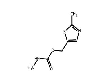 CNC(=O)OCc1cnc(C)s1